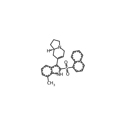 Cc1cccc2c(C3=CCN4CCC[C@H]4C3)c(S(=O)(=O)c3cccc4ccccc34)[nH]c12